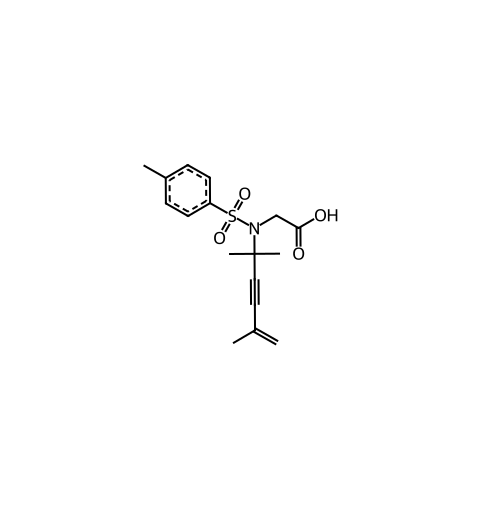 C=C(C)C#CC(C)(C)N(CC(=O)O)S(=O)(=O)c1ccc(C)cc1